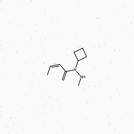 C=C(/C=C\C)N(NC)C1CCC1